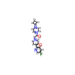 O=C(CN1CCc2c(oc3cc(F)cnc23)C1)N1CCN(C2CCC2)CC1